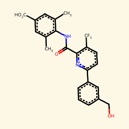 Cc1cc(C(=O)O)cc(C)c1NC(=O)c1nc(-c2cccc(CO)c2)ccc1C(F)(F)F